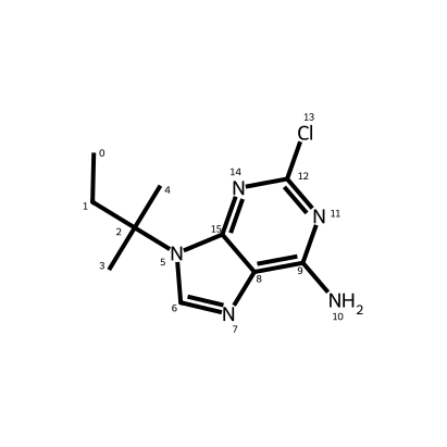 CCC(C)(C)n1cnc2c(N)nc(Cl)nc21